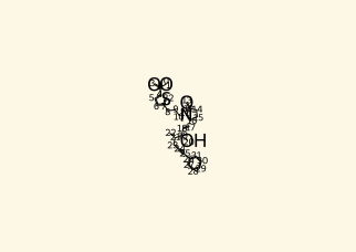 COC(=O)c1ccc(CCCN2C(=O)CC[C@@H]2C=C[C@@H](O)[C@H](C)CC#Cc2ccccc2)s1